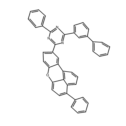 c1ccc(-c2cccc(-c3nc(-c4ccccc4)nc(-c4ccc5c(c4)-c4cccc6c(-c7ccccc7)ccc(c46)O5)n3)c2)cc1